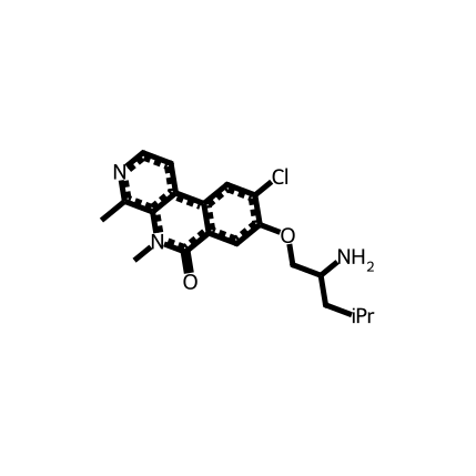 Cc1nccc2c3cc(Cl)c(OCC(N)CC(C)C)cc3c(=O)n(C)c12